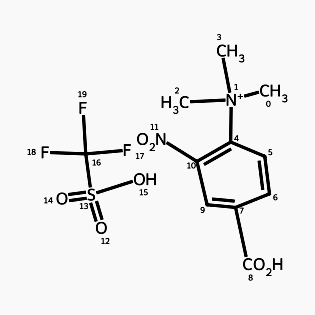 C[N+](C)(C)c1ccc(C(=O)O)cc1[N+](=O)[O-].O=S(=O)(O)C(F)(F)F